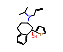 C=CCN(C(C)C)[C@@H]1CCc2ccccc2[C@@](O)(c2cccs2)C1